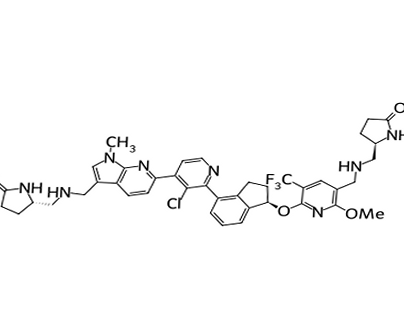 COc1nc(O[C@@H]2CCc3c(-c4nccc(-c5ccc6c(CNC[C@@H]7CCC(=O)N7)cn(C)c6n5)c4Cl)cccc32)c(C(F)(F)F)cc1CNC[C@H]1CCC(=O)N1